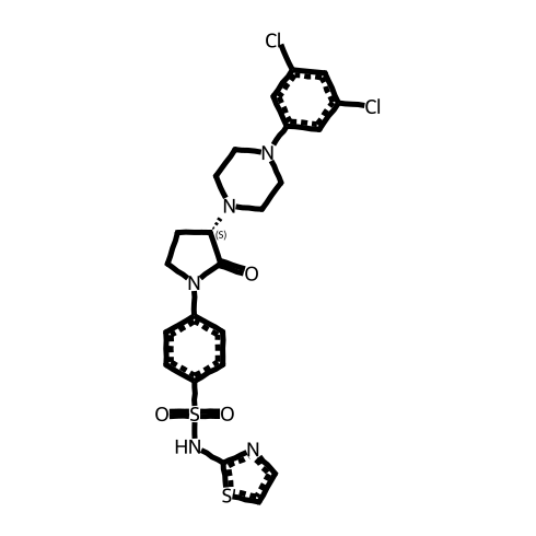 O=C1[C@@H](N2CCN(c3cc(Cl)cc(Cl)c3)CC2)CCN1c1ccc(S(=O)(=O)Nc2nccs2)cc1